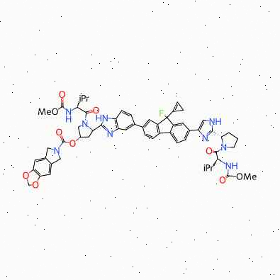 COC(=O)N[C@H](C(=O)N1CC(OC(=O)N2Cc3cc4c(cc3C2)OCO4)CC1c1nc2cc(-c3ccc4c(c3)C(F)(C3=CC3)c3cc(-c5c[nH]c([C@@H]6CCCN6C(=O)[C@@H](NC(=O)OC)C(C)C)n5)ccc3-4)ccc2[nH]1)C(C)C